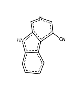 N#Cc1cncc2[nH]c3ccccc3c12